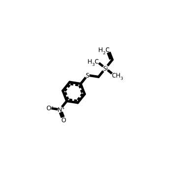 C=C[Si](C)(C)CSc1ccc([N+](=O)[O-])cc1